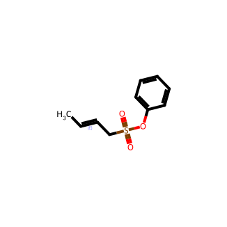 C/C=C/CS(=O)(=O)Oc1ccccc1